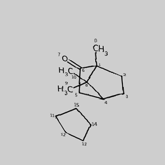 CC12CCC(CC1=O)C2(C)C.[CH]1CCCC1